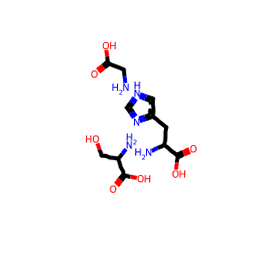 NC(CO)C(=O)O.NC(Cc1c[nH]cn1)C(=O)O.NCC(=O)O